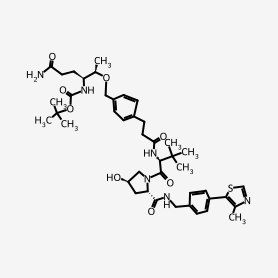 Cc1ncsc1-c1ccc(CNC(=O)[C@@H]2C[C@@H](O)CN2C(=O)[C@@H](NC(=O)CCc2ccc(CO[C@H](C)[C@H](CCC(N)=O)NC(=O)OC(C)(C)C)cc2)C(C)(C)C)cc1